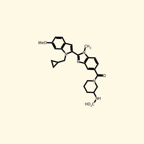 COc1ccc2cc(-c3nc4cc(C(=O)N5CCCC(NC(=O)O)C5)ccc4n3C)n(CC3CC3)c2c1